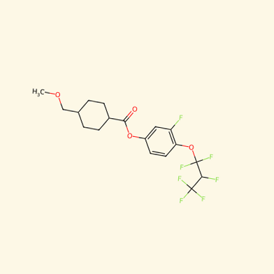 COCC1CCC(C(=O)Oc2ccc(OC(F)(F)C(F)C(F)(F)F)c(F)c2)CC1